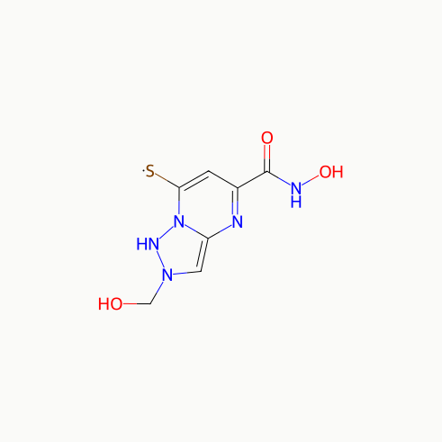 O=C(NO)C1=NC2=CN(CO)NN2C([S])=C1